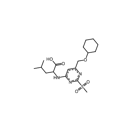 CC(C)CC(Nc1cc(COC2CCCCC2)nc(S(C)(=O)=O)n1)C(=O)O